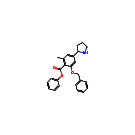 Cc1cc(C2CCCN2)cc(OCc2ccccc2)c1C(=O)Oc1ccccc1